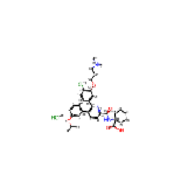 Cc1ccc(OC(C)C)cc1-c1ccc(C(=O)NC2(C(=O)O)CCCCC2)nc1-c1ccc(Cl)c(OCCCN(C)C)c1.Cl